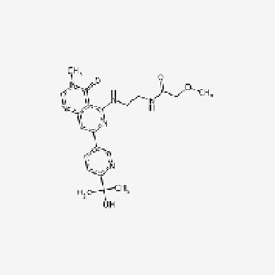 COCC(=O)NCCNc1nc(-c2ccc(C(C)(C)O)nc2)cc2ncn(C)c(=O)c12